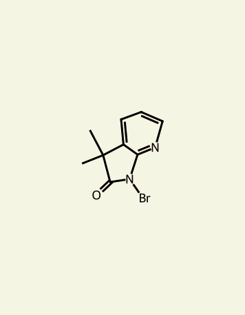 CC1(C)C(=O)N(Br)c2ncccc21